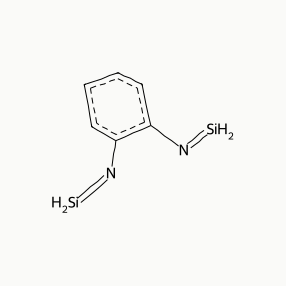 [SiH2]=Nc1ccccc1N=[SiH2]